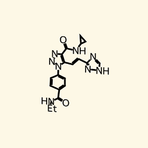 CCNC(=O)c1ccc(-n2nnc(C(=O)NC3CC3)c2/C=C/c2nc[nH]n2)cc1